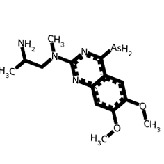 COc1cc2nc(N(C)CC(C)N)nc([AsH2])c2cc1OC